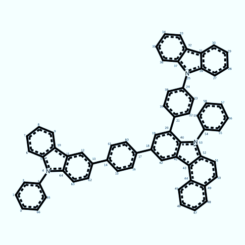 c1ccc(-n2c3ccccc3c3cc(-c4ccc(-c5cc(-c6ccc(-n7c8ccccc8c8ccccc87)cc6)c6c(c5)c5c7ccccc7ccc5n6-c5ccccc5)cc4)ccc32)cc1